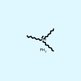 CCCCCCCC[PH](CC)(CCCCCCCC)CCCCCCCC.P